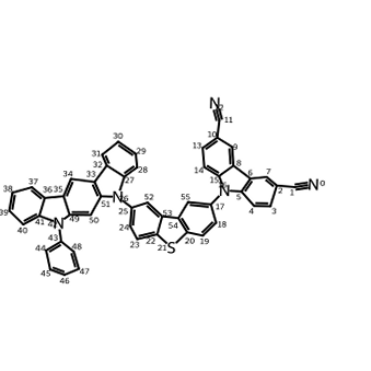 N#Cc1ccc2c(c1)c1cc(C#N)ccc1n2-c1ccc2sc3ccc(-n4c5ccccc5c5cc6c7ccccc7n(-c7ccccc7)c6cc54)cc3c2c1